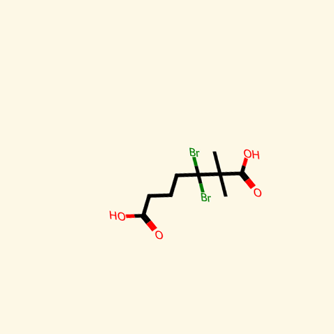 CC(C)(C(=O)O)C(Br)(Br)CCCC(=O)O